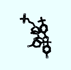 CCOc1cc(C(C)(C)C)ccc1C1=N[C@](C)(c2ccc(Cl)cc2)[C@](C)(C2=CC=C(Cl)CC2)N1C(=O)N1C=CN(CCCS(C)(=O)=O)CC1